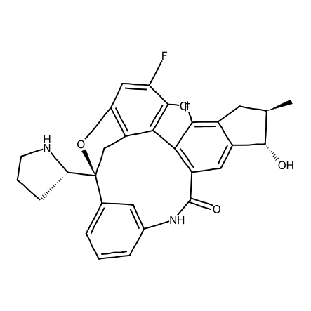 C[C@@H]1Cc2c(cc3c(c2F)-c2c(Cl)c(F)cc4c2C[C@]([C@@H]2CCCN2)(O4)c2cccc(c2)NC3=O)[C@H]1O